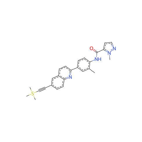 Cc1cc(-c2ccc3cc(C#CS(C)(C)C)ccc3n2)ccc1NC(=O)c1ccnn1C